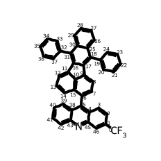 FC(F)(F)c1ccc2c(-c3ccc4c5c(cccc35)-c3c-4c(-c4ccccc4)c4ccccc4c3-c3ccccc3)c3ccccc3nc2c1